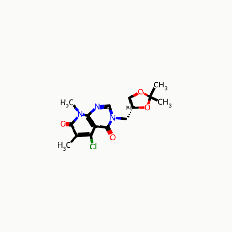 Cc1c(Cl)c2c(=O)n(C[C@@H]3COC(C)(C)O3)cnc2n(C)c1=O